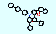 c1ccc(-c2ccc(-c3ccc(N(c4ccc(-c5ccccc5)cc4)c4ccc5c(oc6c7ccccc7ccc56)c4-c4cccc(-c5ccccc5)c4)cc3)cc2)cc1